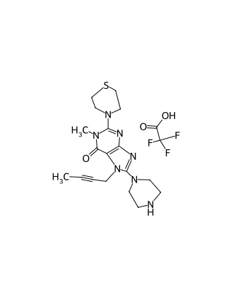 CC#CCn1c(N2CCNCC2)nc2nc(N3CCSCC3)n(C)c(=O)c21.O=C(O)C(F)(F)F